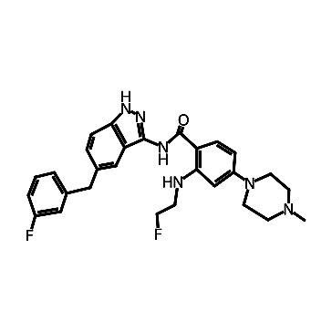 CN1CCN(c2ccc(C(=O)Nc3n[nH]c4ccc(Cc5cccc(F)c5)cc34)c(NCCF)c2)CC1